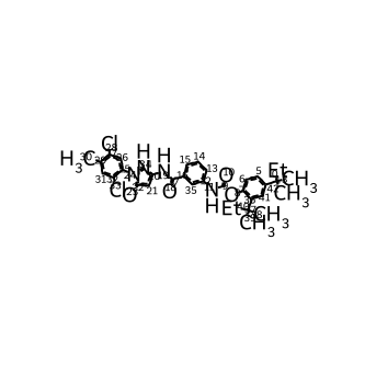 CCC(C)(C)c1ccc(OC(=O)Nc2cccc(C(=O)Nc3cc(=O)n(-c4cc(Cl)c(C)cc4Cl)[nH]3)c2)c(C(C)(C)CC)c1